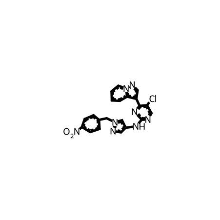 O=[N+]([O-])c1ccc(Cn2cc(Nc3ncc(Cl)c(-c4cnn5ccccc45)n3)cn2)cc1